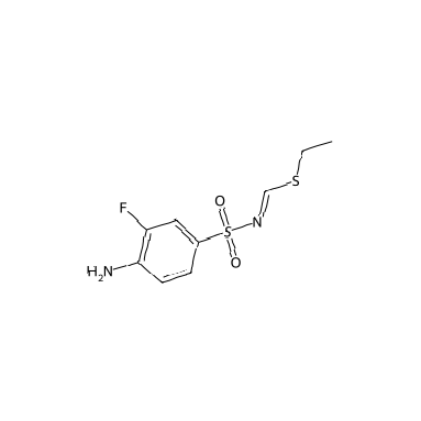 CCSC=NS(=O)(=O)c1ccc(N)c(F)c1